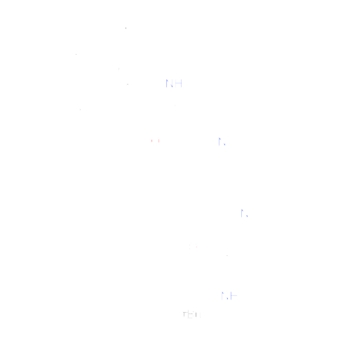 CC(C)(C)NC(=O)CN1CCCN(CC(=O)NC23CC4CC(CC(C4)C2)C3)CC1